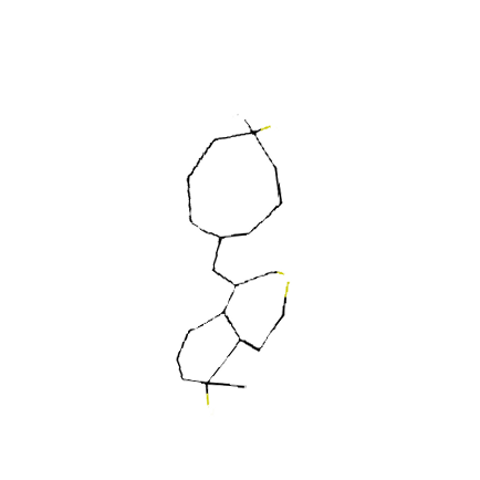 BC1(S)CCCC2C(CC3CCCC(C)(S)CCC3)CSCCC21